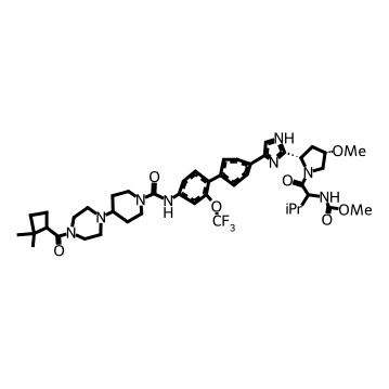 COC(=O)NC(C(=O)N1C[C@@H](OC)C[C@H]1c1nc(-c2ccc(-c3ccc(NC(=O)N4CCC(N5CCN(C(=O)C6CCC6(C)C)CC5)CC4)cc3OC(F)(F)F)cc2)c[nH]1)C(C)C